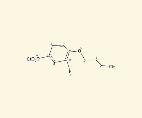 CCOC(=O)c1ccc(OCCCCl)c(F)c1